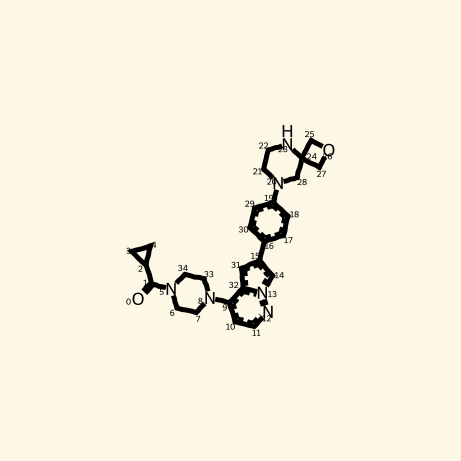 O=C(C1CC1)N1CCN(c2ccnn3cc(-c4ccc(N5CCNC6(COC6)C5)cc4)cc23)CC1